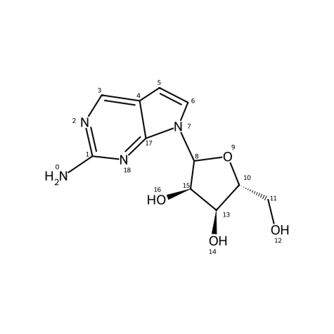 Nc1ncc2ccn(C3O[C@H](CO)[C@@H](O)[C@H]3O)c2n1